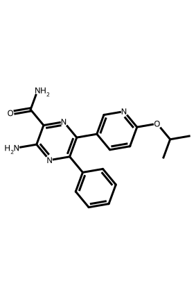 CC(C)Oc1ccc(-c2nc(C(N)=O)c(N)nc2-c2ccccc2)cn1